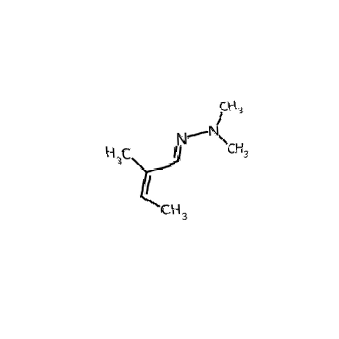 CC=C(C)C=NN(C)C